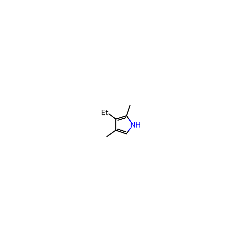 [CH2]Cc1c(C)c[nH]c1C